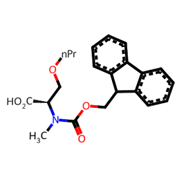 CCCOC[C@H](C(=O)O)N(C)C(=O)OCC1c2ccccc2-c2ccccc21